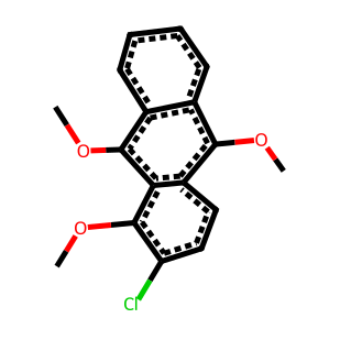 COc1c2ccccc2c(OC)c2c(OC)c(Cl)ccc12